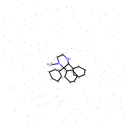 [SiH3]N1CCNC(C2CCCCC2)C1(C1CCCCC1)C1CCCCC1